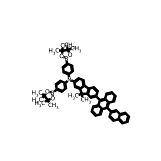 CC1(C)c2cc(-c3c4ccccc4c(-c4ccc5ccccc5c4)c4ccccc34)ccc2-c2ccc(N(c3ccc(B4OC(C)(C)C(C)(C)O4)cc3)c3ccc(B4OC(C)(C)C(C)(C)O4)cc3)cc21